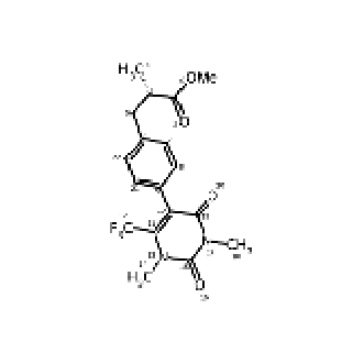 COC(=O)[C@@H](C)Cc1ccc(-c2c(C(F)(F)F)n(C)c(=O)n(C)c2=O)cc1